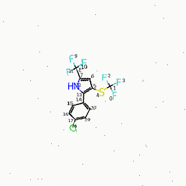 FC(F)(F)Sc1cc(C(F)(F)F)[nH]c1-c1ccc(Cl)cc1